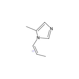 C/C=C\n1cncc1C